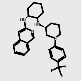 FC(F)(F)c1ccc(N2CCC[C@H](N[C@@H]3CCCC[C@H]3Nc3cc4ccccc4cn3)C2)cc1